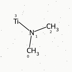 C[N](C)[Ti]